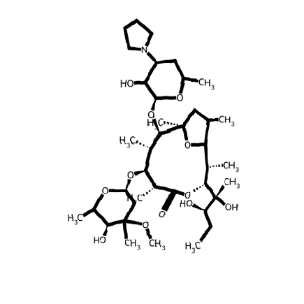 CC[C@@H](O)[C@@](C)(O)[C@@H]1OC(=O)[C@H](C)[C@@H](O[C@H]2CC(C)(OC)[C@@H](O)C(C)O2)[C@H](C)[C@@H](O[C@@H]2OC(C)CC(N3CCCC3)C2O)[C@@]2(C)CC(C)C(O2)[C@@H]1C